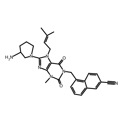 CC(C)=CCn1c(N2CCCC(N)C2)nc2c1c(=O)n(Cc1cccc3cc(C#N)ccc13)c(=O)n2C